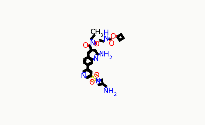 CCCN(OCCNC(=O)OC1CCC1)C(=O)C1=Cc2ccc(-c3cncc(S(=O)(=O)N4CC(CN)C4)c3)cc2N=C(N)C1